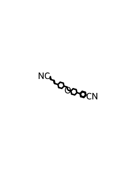 N#CC=CC=CC1CCC(COC2CCC(c3ccc(C#N)cc3)CC2)CC1